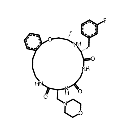 C[C@H]1COc2ccccc2CCCNC(=O)[C@H](CN2CCOCC2)NC(=O)CNC(=O)[C@@H](Cc2cccc(F)c2)N1